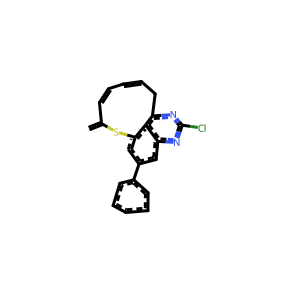 C=C1/C=C\C=C/Cc2nc(Cl)nc3cc(-c4ccccc4)cc(c23)S1